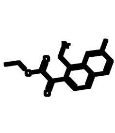 CCOC(=O)C(=O)c1ccc2ccc(C)cc2c1CBr